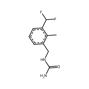 Cc1c(CNC(N)=O)cccc1C(F)F